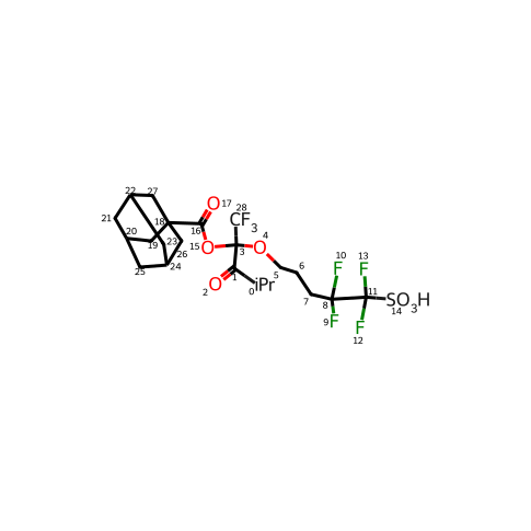 CC(C)C(=O)C(OCCCC(F)(F)C(F)(F)S(=O)(=O)O)(OC(=O)C12CC3CC(CC(C3)C1)C2)C(F)(F)F